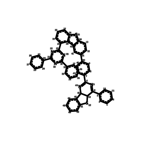 c1ccc(C2=NC(c3ccc(-c4ccc5sc6cccc(-c7nc(-c8ccccc8)nc(-c8ccccc8)n7)c6c5c4)cc3)=NC3c4ccccc4SC23)cc1